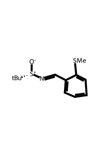 CSc1ccccc1C=N[S@@+]([O-])C(C)(C)C